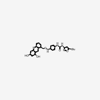 CC(C)(C)c1cc(NC(=O)Nc2ccc(NOCc3cccc4nc5cc(O)cc(O)c5cc34)cc2)no1